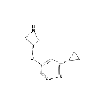 c1cc(OC2CNC2)cc(C2CC2)n1